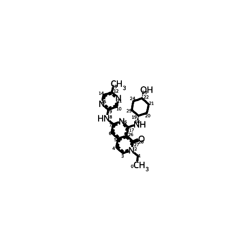 CCn1ccc2cc(Nc3cnc(C)cn3)nc(N[C@H]3CC[C@@H](O)CC3)c2c1=O